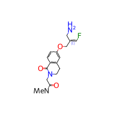 CNC(=O)CN1CCc2cc(OC/C(=C/F)CN)ccc2C1=O